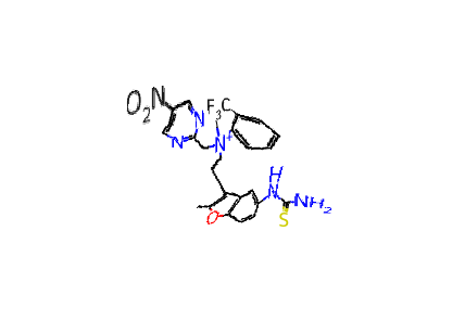 Cc1oc2ccc(NC(N)=S)cc2c1CC[N+](C)(Cc1ncc([N+](=O)[O-])cn1)c1ccccc1C(F)(F)F